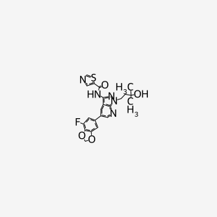 CC(C)(O)CCn1nc(NC(=O)c2cncs2)c2cc(-c3cc(F)c4c(c3)OCO4)cnc21